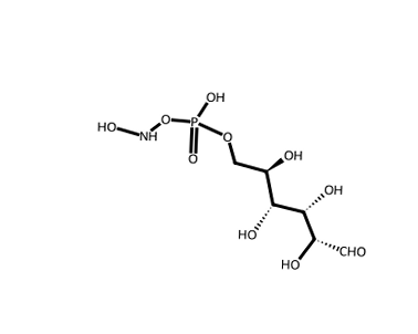 O=C[C@H](O)[C@@H](O)[C@H](O)[C@H](O)COP(=O)(O)ONO